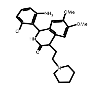 COc1cc2c(cc1OC)C(c1c(N)cccc1Cl)NC(=O)C2CCN1CCCCC1